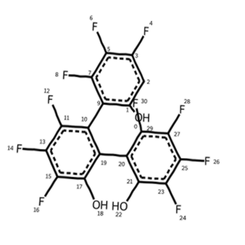 Oc1cc(F)c(F)c(F)c1-c1c(F)c(F)c(F)c(O)c1-c1c(O)c(F)c(F)c(F)c1F